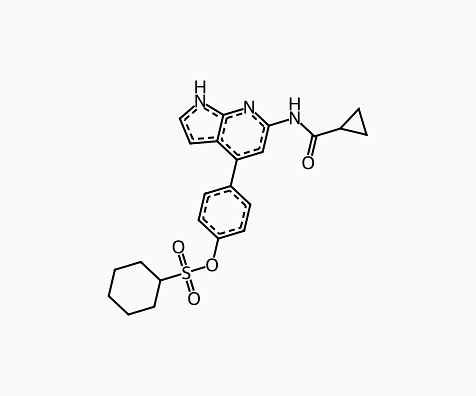 O=C(Nc1cc(-c2ccc(OS(=O)(=O)C3CCCCC3)cc2)c2cc[nH]c2n1)C1CC1